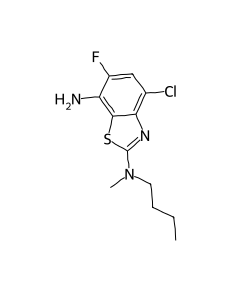 CCCCN(C)c1nc2c(Cl)cc(F)c(N)c2s1